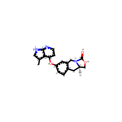 Cc1c[nH]c2nccc(Oc3ccc4c(c3)CN3C(=O)OC[C@H]3C4)c12